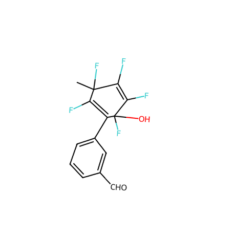 CC1(F)C(F)=C(F)C(O)(F)C(c2cccc(C=O)c2)=C1F